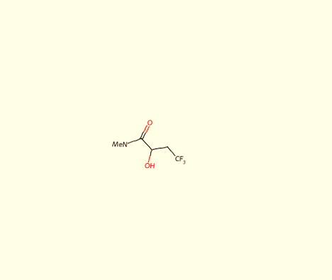 CNC(=O)C(O)CC(F)(F)F